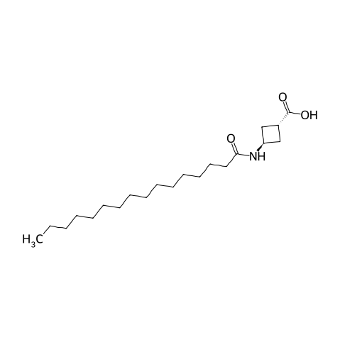 CCCCCCCCCCCCCCCC(=O)N[C@H]1C[C@H](C(=O)O)C1